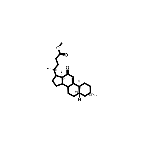 COC(=O)CC[C@@H](C)C1CCC2C3CC[C@H]4C[C@@H](C)CC[C@]4(C)C3=CC(=O)[C@@]21C